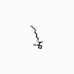 CC(C)(C)C1(C(=O)OCCCCN=[N+]=[N-])CCC1